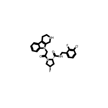 O=C(NCc1cccc(Cl)c1F)[C@@H]1C[C@@H](F)CN1C(=O)Cn1c2c(c3ccccc31)CCNC2